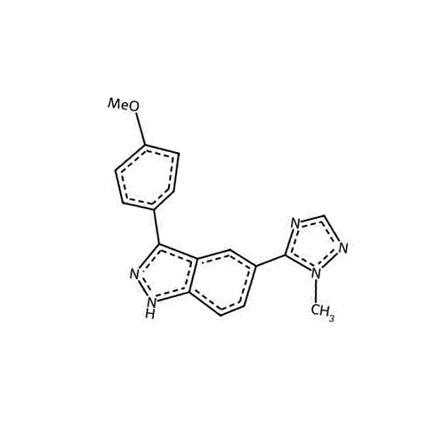 COc1ccc(-c2n[nH]c3ccc(-c4ncnn4C)cc23)cc1